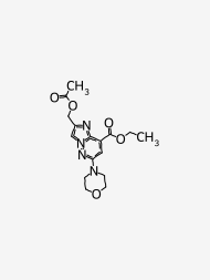 CCOC(=O)c1cc(N2CCOCC2)nn2cc(COC(C)=O)nc12